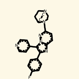 Fc1ccc(-c2nc3ccc(N4CCN5CCC4CC5)nn3c2-c2ccncc2)cc1